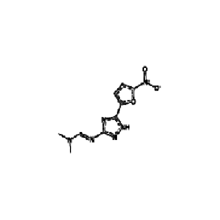 CN(C)C=Nc1n[nH]c(-c2ccc([N+](=O)[O-])o2)n1